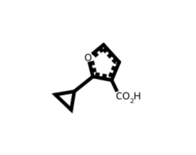 O=C(O)c1ccoc1C1CC1